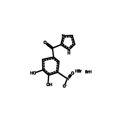 Br.Br.O=C(c1cc(O)c(O)c([N+](=O)[O-])c1)c1ncc[nH]1